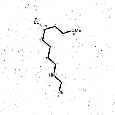 CC[C@@H](CCCCNCC(C)(C)C)CCOC